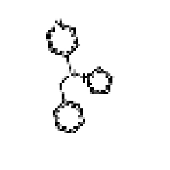 c1ccc(CN(c2ccncc2)n2cccc2)cc1